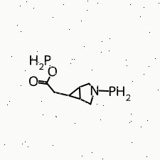 O=C(CC1C2CN(P)CC12)OP